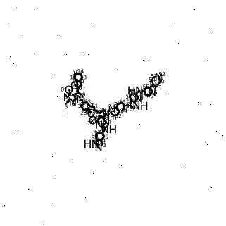 COc1nc(C)nc2c1c(-c1cc3ccccc3o1)cn2-c1ccc2oc(-c3cn(-c4ccc5cc(-c6c[nH]c7nc(Nc8ccnc(N9CCN(C)CC9)c8)ncc67)ccc5n4)c4nc(Nc5ccc6[nH]ncc6c5)nc(OC)c34)cc2c1